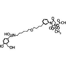 CC(=O)O[N+]1(S(C)(=O)=O)CC(=O)N(c2cccc(CCCCOCCCCCCNC[C@@H](O)c3ccc(O)c(CO)c3)c2)C1=O